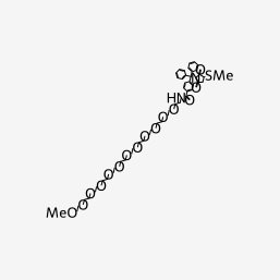 COCCOCCOCCOCCOCCOCCOCCOCCOCCOCCOCCOCCNC(=O)c1ccc(C(c2ccccc2)(c2ccccc2)N2C(=O)CC(SC)C2=O)cc1